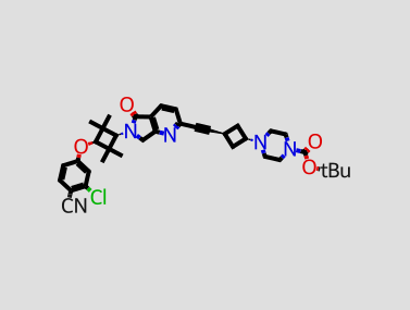 CC(C)(C)OC(=O)N1CCN([C@H]2C[C@H](C#Cc3ccc4c(n3)CN([C@H]3C(C)(C)[C@H](Oc5ccc(C#N)c(Cl)c5)C3(C)C)C4=O)C2)CC1